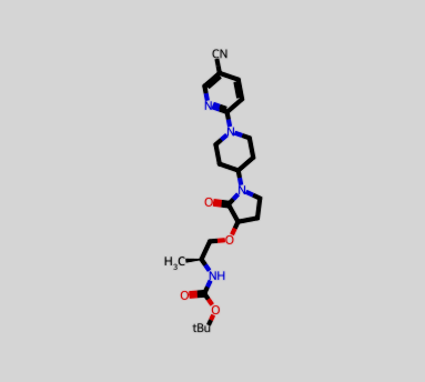 C[C@@H](COC1CCN(C2CCN(c3ccc(C#N)cn3)CC2)C1=O)NC(=O)OC(C)(C)C